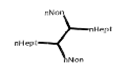 [CH2]CCCCCCC(CCCCCCCCC)C(CCCCCC[CH2])CCCCCCCCC